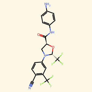 N#Cc1ccc(N2C[C@@H](C(=O)Nc3ccc(N)cc3)O[C@@H]2C(F)(F)F)cc1C(F)(F)F